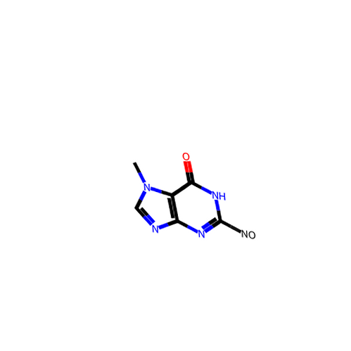 Cn1cnc2nc(N=O)[nH]c(=O)c21